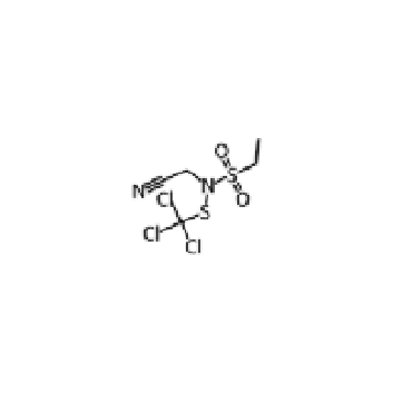 CCS(=O)(=O)N(CC#N)SC(Cl)(Cl)Cl